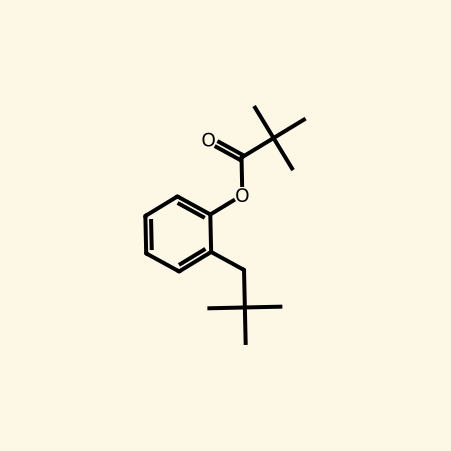 CC(C)(C)Cc1ccccc1OC(=O)C(C)(C)C